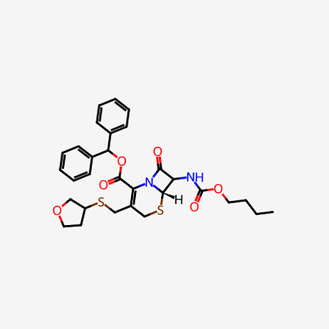 CCCCOC(=O)NC1C(=O)N2C(C(=O)OC(c3ccccc3)c3ccccc3)=C(CSC3CCOC3)CS[C@@H]12